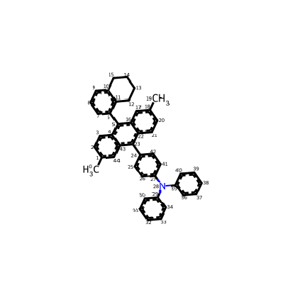 Cc1ccc2c(-c3cccc4c3CCCC4)c3cc(C)ccc3c(-c3ccc(N(c4ccccc4)c4ccccc4)cc3)c2c1